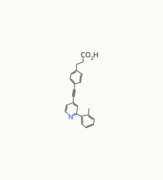 Cc1ccccc1-c1cc(C#Cc2ccc(CCC(=O)O)cc2)ccn1